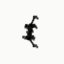 CCCCCCCCON1C(C)(C)CC(OC(=O)NNC(=O)OC2CC(C)(C)N(OCCCCCCCC)C(C)(C)C2)CC1(C)C